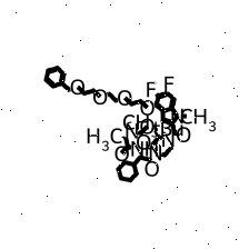 C[C@@H](C(=O)N[C@H](C(=O)N1CCN(C(=O)c2cc3c(OCCOCCOCCOCc4ccccc4)c(F)c(F)cc3n2C)CC1)C1CCCCC1)N(C)C(=O)OC(C)(C)C